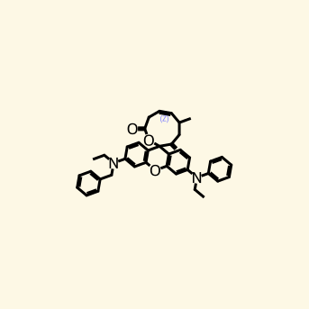 C=C1CC(C)/C=C\CC(=O)OC12c1ccc(N(CC)Cc3ccccc3)cc1Oc1cc(N(CC)c3ccccc3)ccc12